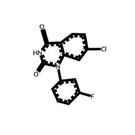 O=c1[nH]c(=O)n(-c2cccc(F)c2)c2cc(Cl)ccc12